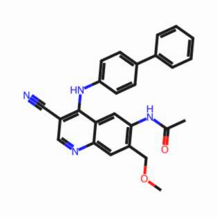 COCc1cc2ncc(C#N)c(Nc3ccc(-c4ccccc4)cc3)c2cc1NC(C)=O